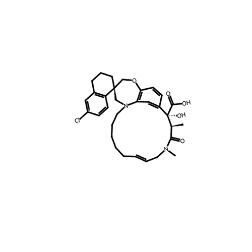 C[C@H]1C(=O)N(C)C/C=C/CCCCCN2C[C@@]3(CCCc4cc(Cl)ccc43)COc3ccc(cc32)[C@@]1(O)C(=O)O